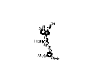 C#CCOc1ccc(OCC(O)CNCCOc2cc(OC)cc(OC)c2)c2c1NC(=O)CC2.Cl